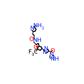 Nc1ccc(/C=C/C(=O)NCc2cc3cc(-c4ncc(C(=O)N5CCNCC5)cn4)cc(C(F)(F)F)c3o2)cn1